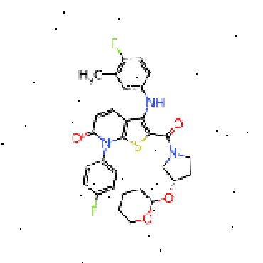 Cc1cc(Nc2c(C(=O)N3CC[C@H](OC4CCCCO4)C3)sc3c2ccc(=O)n3-c2ccc(F)cc2)ccc1F